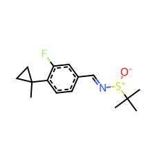 CC1(c2ccc(/C=N/[S@+]([O-])C(C)(C)C)cc2F)CC1